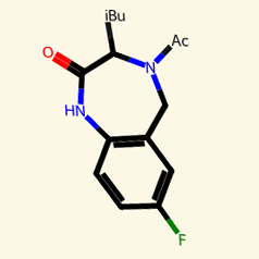 CCC(C)C1C(=O)Nc2ccc(F)cc2CN1C(C)=O